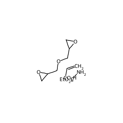 C(OCC1CO1)C1CO1.C=CC(=O)O.CCOC(N)=O